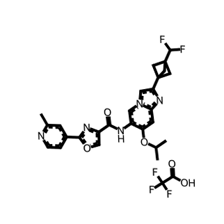 Cc1cc(-c2nc(C(=O)Nc3cn4cc(C56CC(C(F)F)(C5)C6)nc4cc3OC(C)C)co2)ccn1.O=C(O)C(F)(F)F